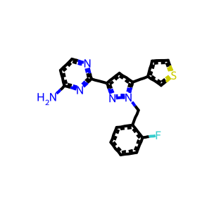 Nc1ccnc(-c2cc(-c3ccsc3)n(Cc3ccccc3F)n2)n1